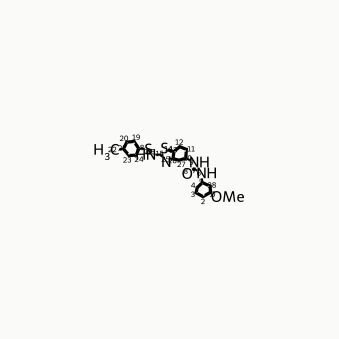 COc1cccc(NC(=O)Nc2ccc3sc(NSc4ccc(C)cc4)nc3c2)c1